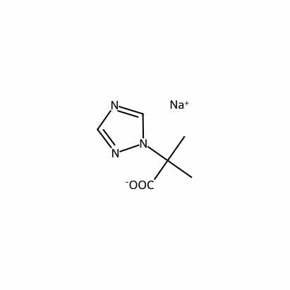 CC(C)(C(=O)[O-])n1cncn1.[Na+]